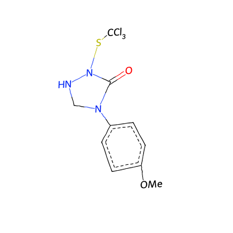 COc1ccc(N2CNN(SC(Cl)(Cl)Cl)C2=O)cc1